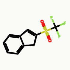 O=S(=O)(C1=Cc2ccccc2C1)C(F)(F)F